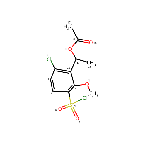 COc1c(S(=O)(=O)Cl)ccc(Cl)c1C(C)OC(C)=O